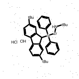 CC(C)(C)[NH][Zr][Si](c1ccccc1)(c1ccccc1)C1c2cc(C(C)(C)C)ccc2-c2ccc(C(C)(C)C)cc21.Cl.Cl